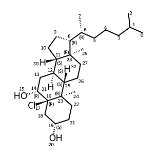 CC(C)CCC[C@@H](C)[C@H]1CC[C@H]2[C@@H]3C[C@@H](O)[C@@]4(Cl)C[C@@H](O)CC[C@]4(C)[C@H]3CC[C@]12C